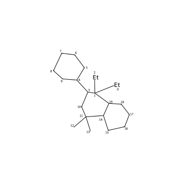 CCC1(CC)C(C2CCCCC2)CC(C)(C)C2CCCCC21